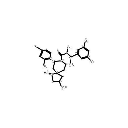 Cc1cc(F)ccc1[C@H]1C[C@@]2(CCN1C(=O)N(C)[C@H](C)c1cc(C(F)(F)F)cc(C(F)(F)F)c1)CC(C(=O)O)CN2C